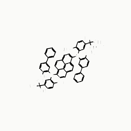 Cc1ccc(-c2ccccc2)cc1N(c1cc(C(C)(C)C)ccc1C)c1ccc2ccc3c(N(c4cc(-c5ccccc5)ccc4C)c4cc(C(C)(C)C)ccc4C)ccc4ccc1c2c43